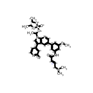 CCOP(=O)(OCC)OC(C)n1cc(-c2ccnc(F)c2)c2cc(-c3cc(NC(=O)/C=C/CN(C)C)cc(OC)c3)cnc21